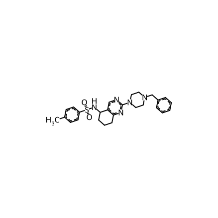 Cc1ccc(S(=O)(=O)NC2CCCc3nc(N4CCN(Cc5ccccc5)CC4)ncc32)cc1